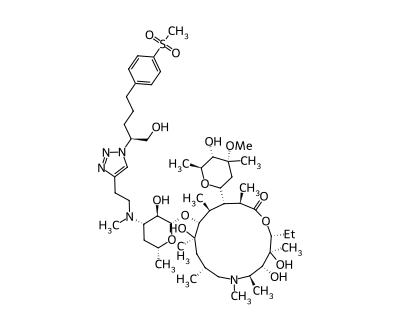 CC[C@H]1OC(=O)[C@H](C)[C@@H](C2C[C@@](C)(OC)[C@@H](O)[C@H](C)O2)[C@H](C)[C@@H](O[C@@H]2O[C@H](C)C[C@H](N(C)CCc3cn([C@H](CO)CCCc4ccc(S(C)(=O)=O)cc4)nn3)[C@H]2O)[C@](C)(O)C[C@@H](C)CN(C)[C@H](C)[C@@H](O)[C@]1(C)O